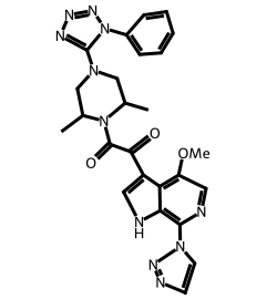 COc1cnc(-n2ccnn2)c2[nH]cc(C(=O)C(=O)N3C(C)CN(c4nnnn4-c4ccccc4)CC3C)c12